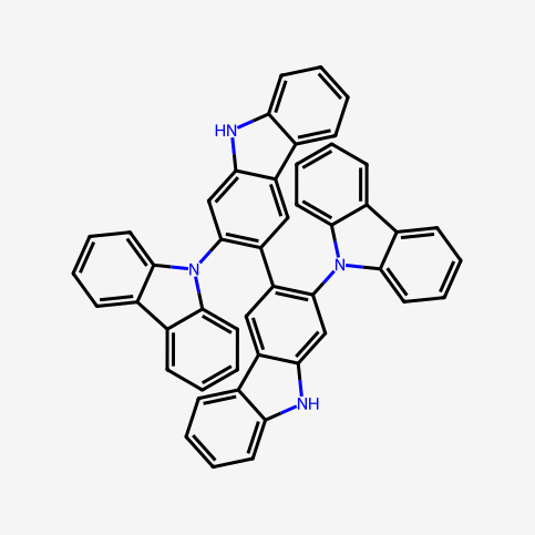 c1ccc2c(c1)[nH]c1cc(-n3c4ccccc4c4ccccc43)c(-c3cc4c(cc3-n3c5ccccc5c5ccccc53)[nH]c3ccccc34)cc12